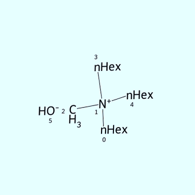 CCCCCC[N+](C)(CCCCCC)CCCCCC.[OH-]